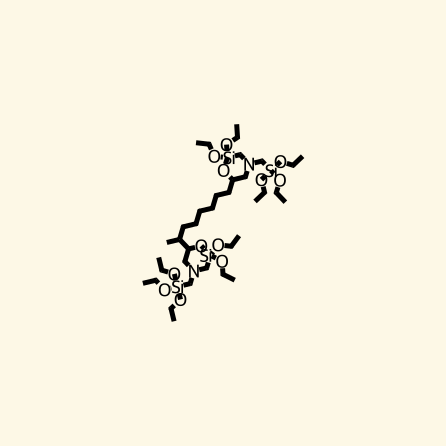 CCO[Si](CN1CC(CCCCCCC(C)C2CN(C[Si](OCC)(OCC)OCC)C[Si](OCC)(OCC)O2)O[Si](OCC)(OCC)C1)(OCC)OCC